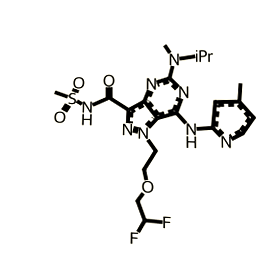 Cc1ccnc(Nc2nc(N(C)C(C)C)nc3c(C(=O)NS(C)(=O)=O)nn(CCOCC(F)F)c23)c1